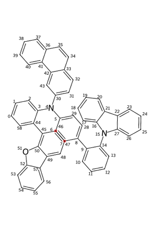 c1ccc(N(c2ccc(-c3ccccc3-n3c4ccccc4c4ccccc43)cc2)c2ccc3ccc4ccccc4c3c2)c(-c2cccc3c2oc2ccccc23)c1